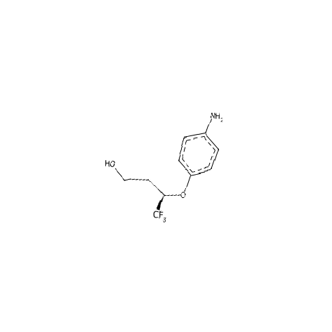 Nc1ccc(O[C@H](CCO)C(F)(F)F)cc1